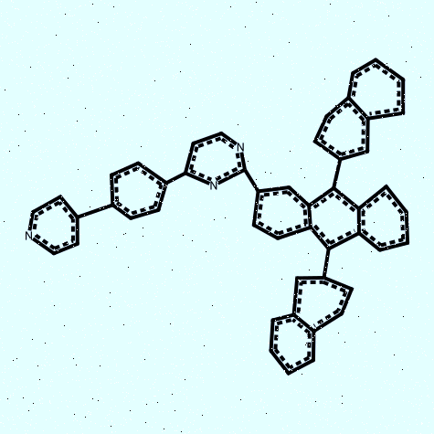 c1ccc2cc(-c3c4ccccc4c(-c4ccc5ccccc5c4)c4cc(-c5nccc(-c6ccc(-c7ccncc7)cc6)n5)ccc34)ccc2c1